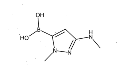 CNc1cc(B(O)O)n(C)n1